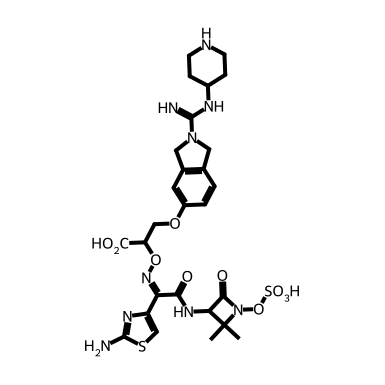 CC1(C)C(NC(=O)/C(=N\OC(COc2ccc3c(c2)CN(C(=N)NC2CCNCC2)C3)C(=O)O)c2csc(N)n2)C(=O)N1OS(=O)(=O)O